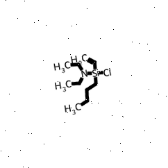 C=C[Si](Cl)(CCCC)N(CC)CC